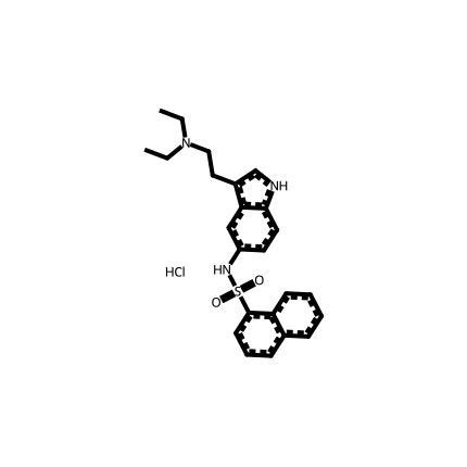 CCN(CC)CCc1c[nH]c2ccc(NS(=O)(=O)c3cccc4ccccc34)cc12.Cl